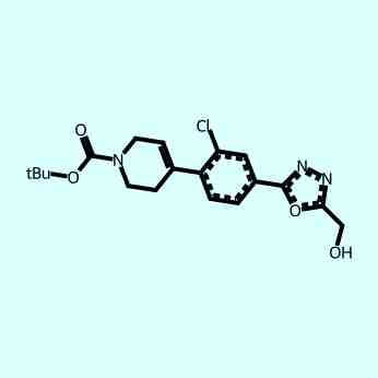 CC(C)(C)OC(=O)N1CC=C(c2ccc(-c3nnc(CO)o3)cc2Cl)CC1